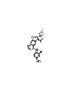 COc1cc2ncnc(Nc3ccc(C)cc3F)c2cc1N1CC2(CNC2)OC1=O